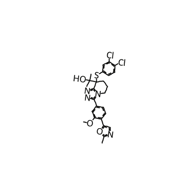 COc1cc(-c2nnc3n2CCCC3(Sc2ccc(Cl)c(Cl)c2)C(C)(C)O)ccc1-c1cnc(C)o1